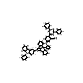 N#Cc1cc(N2c3ccccc3C3(c4ccccc4-c4cc(-c5ccc6c(c5)c5ccccc5n6-c5ccccc5)ccc43)c3ccccc32)ccc1-c1nc(-c2ccccc2)nc(-c2ccccc2)n1